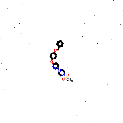 CS(=O)(=O)N1CCN(c2ccc(OC3CCC(OCc4ccccc4)CC3)nn2)CC1